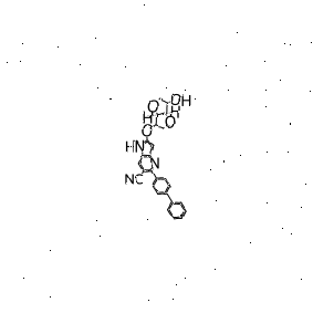 N#Cc1cc2[nH]c(O[C@@H]3CO[C@H]4[C@@H]3OC[C@H]4O)cc2nc1-c1ccc(-c2ccccc2)cc1